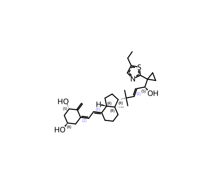 C=C1/C(=C\C=C2/CCC[C@]3(C)[C@@H](C(C)(C)/C=C/[C@H](O)C4(c5ncc(CC)s5)CC4)CC[C@@H]23)C[C@@H](O)C[C@@H]1O